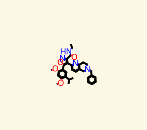 CCNC(=O)c1noc(-c2cc(C(C)C)c(OC)cc2OC)c1-c1ccc2c(n1)CCN(Cc1ccccc1)C2